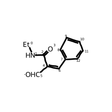 CCNC(=O)C([C]=O)=Cc1ccccc1